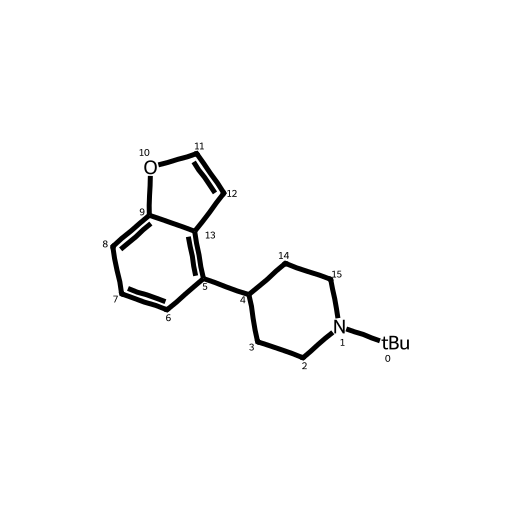 CC(C)(C)N1CCC(c2cccc3occc23)CC1